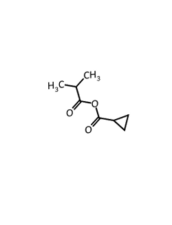 CC(C)C(=O)OC(=O)C1CC1